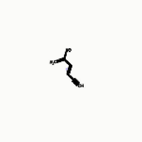 C#C/C=C/C(=C)N=O